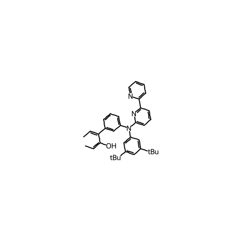 C/C=C(\C(O)=C/C)c1cccc(N(c2cc(C(C)(C)C)cc(C(C)(C)C)c2)c2cccc(-c3ccccn3)n2)c1